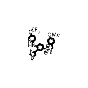 COc1ccc(CN(C)S(=O)(=O)c2ccc(Nc3ccc(OC(F)(F)F)cn3)c(-c3cn(C)cn3)c2)cc1